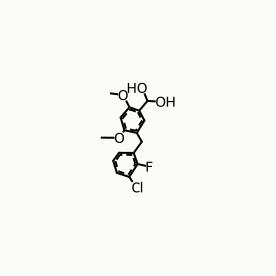 COc1cc(OC)c(C(O)O)cc1Cc1cccc(Cl)c1F